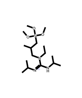 CCN(CC(C)C[Si](OC)(OC)OC)/C(=N\C(C)C)NC(C)C